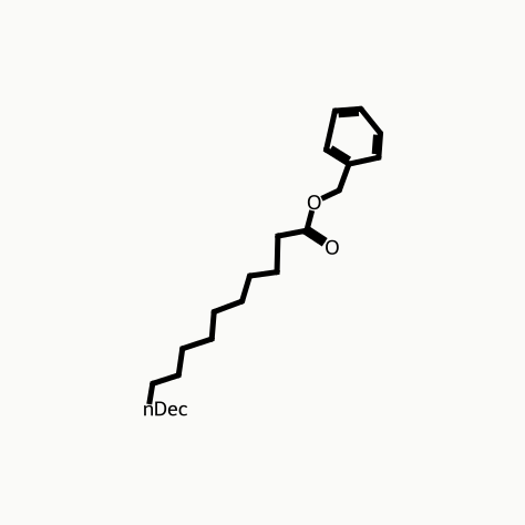 CCCCCCCCCCCCCCCCCCCC(=O)OCc1ccccc1